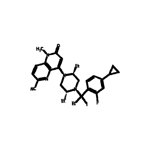 CC[C@H]1CN(C(I)(CC)c2ccc(C3CC3)cc2F)[C@H](CC)CN1c1cc(=O)n(C)c2ccc(C#N)nc12